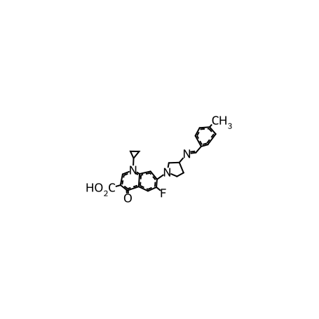 Cc1ccc(/C=N/C2CCN(c3cc4c(cc3F)c(=O)c(C(=O)O)cn4C3CC3)C2)cc1